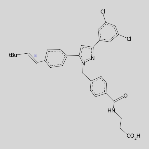 CC(C)(C)/C=C/c1ccc(-c2cc(-c3cc(Cl)cc(Cl)c3)nn2Cc2ccc(C(=O)NCCC(=O)O)cc2)cc1